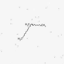 CCCCCCC/C=C/C(C)CCCCCCCCCCCC